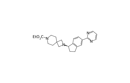 CCOC(=O)N1CCC2(CC1)CN([C@@H]1CCc3cc(-c4ncccn4)ccc31)C2